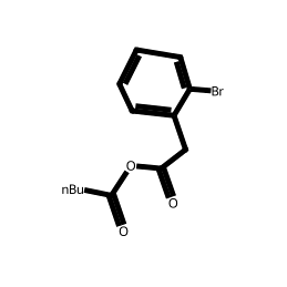 [CH2]CCCC(=O)OC(=O)Cc1ccccc1Br